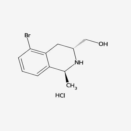 C[C@@H]1N[C@@H](CO)Cc2c(Br)cccc21.Cl